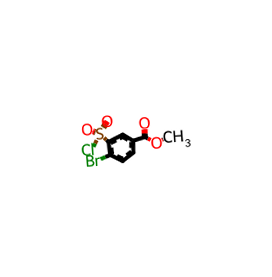 COC(=O)c1ccc(Br)c(S(=O)(=O)Cl)c1